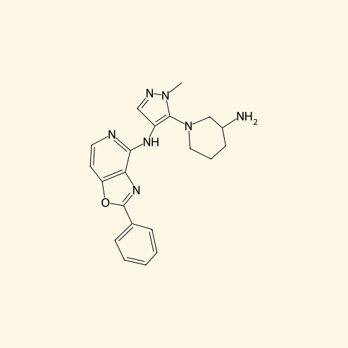 Cn1ncc(Nc2nccc3oc(-c4ccccc4)nc23)c1N1CCCC(N)C1